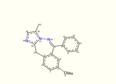 COc1ccc2c(c1)C(c1ccccc1)=Nn1c(C)cnc1C2